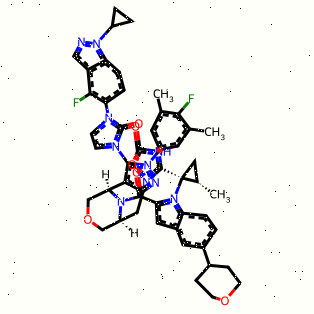 Cc1cc(-n2nc3c(c2-n2ccn(-c4ccc5c(cnn5C5CC5)c4F)c2=O)[C@@H]2COC[C@H](C3)N2C(=O)c2cc3cc(C4CCOCC4)ccc3n2[C@@]2(c3noc(=O)[nH]3)C[C@@H]2C)cc(C)c1F